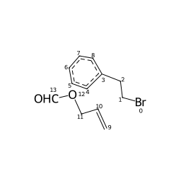 BrCCc1ccccc1.C=CCOC=O